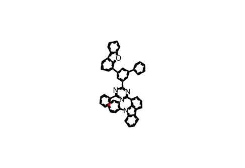 c1ccc(-c2cc(-c3nc(-c4ccccc4)nc(-c4cccc5c6ccccc6n(-c6ccccc6)c45)n3)cc(-c3cccc4c3oc3ccccc34)c2)cc1